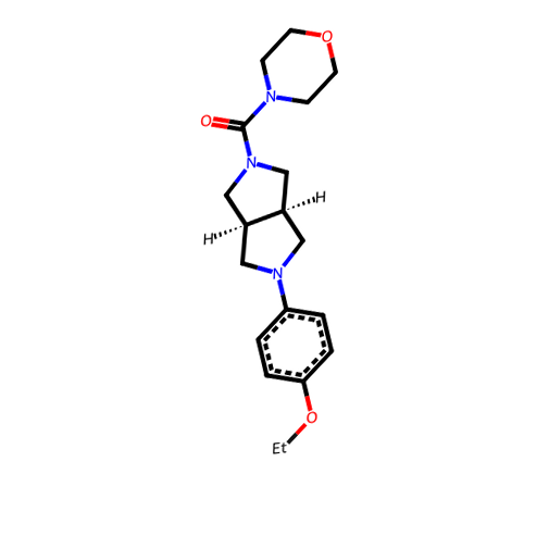 CCOc1ccc(N2C[C@H]3CN(C(=O)N4CCOCC4)C[C@H]3C2)cc1